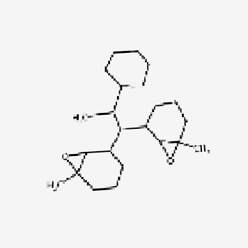 CC(C1CCCCC1)C(C1CCCC2(C)OC12)C1CCCC2(C)OC12